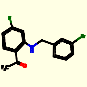 O=C(c1ccc(F)cc1NCc1cccc(Br)c1)C(F)(F)F